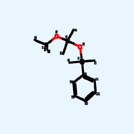 C[SiH2]O[Si](C)(C)O[Si](C)(C)c1ccccc1